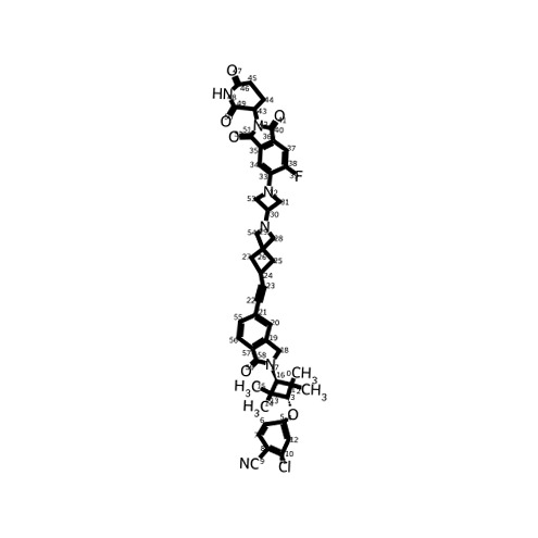 CC1(C)[C@H](Oc2ccc(C#N)c(Cl)c2)C(C)(C)[C@H]1N1Cc2cc(C#CC3CC4(C3)CN(C3CN(c5cc6c(cc5F)C(=O)N(C5CCC(=O)NC5=O)C6=O)C3)C4)ccc2C1=O